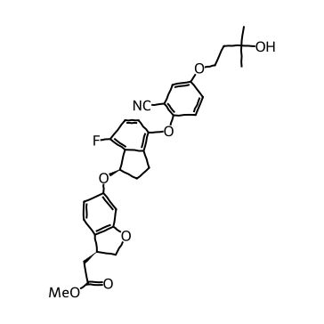 COC(=O)C[C@@H]1COc2cc(O[C@@H]3CCc4c(Oc5ccc(OCCC(C)(C)O)cc5C#N)ccc(F)c43)ccc21